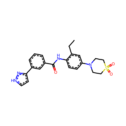 CCc1cc(N2CCS(=O)(=O)CC2)ccc1NC(=O)c1cccc(-c2cc[nH]n2)c1